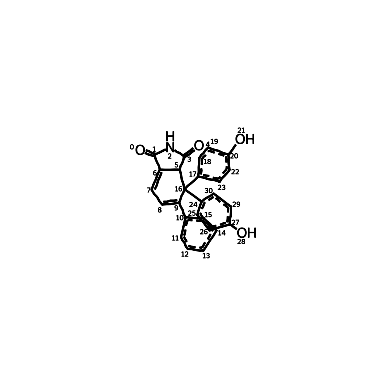 O=C1NC(=O)C2C1=CC=C(c1ccccc1)C2(c1ccc(O)cc1)c1ccc(O)cc1